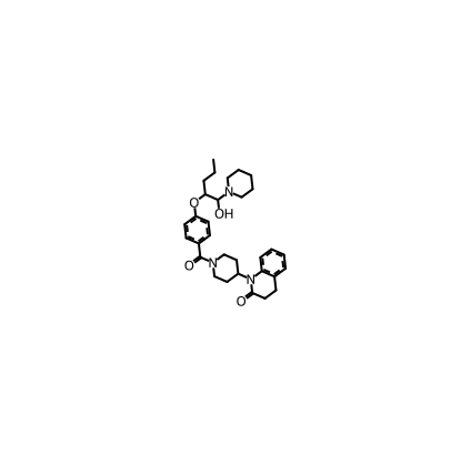 CCCC(Oc1ccc(C(=O)N2CCC(N3C(=O)CCc4ccccc43)CC2)cc1)C(O)N1CCCCC1